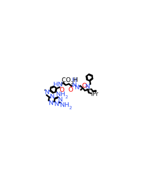 C=CC[C@@]1(CC(C)C)CC(C)(/C=N/NC(=O)CC[C@@H](NC(=O)c2ccc(N(C)Cc3cnc4nc(N)nc(N)c4n3)cc2)C(=O)O)ON1Cc1ccccc1